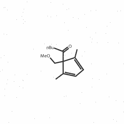 CCCCC(=O)C1(COC)C(C)=CC=C1C